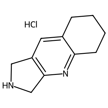 Cl.c1c2c(nc3c1CNC3)CCCC2